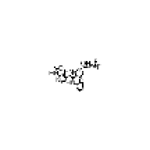 CC(=O)Nc1cc(-c2[nH]c3c(c2Nc2ccccc2)C(=O)CN(C(O)CCC(F)(F)F)C3)ccn1